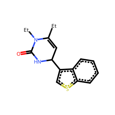 CCC1=CC(c2csc3ccccc23)NC(=O)N1CC